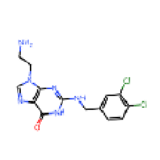 NCCn1cnc2c(=O)[nH]c(NCc3ccc(Cl)c(Cl)c3)nc21